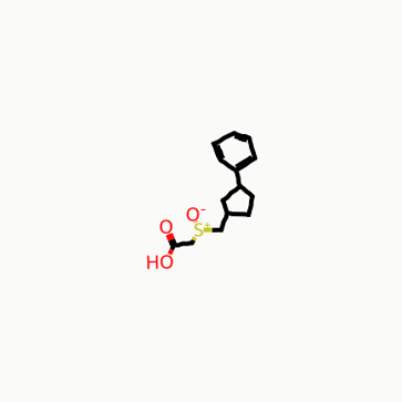 O=C(O)C[S+]([O-])CC1CCC(c2ccccc2)C1